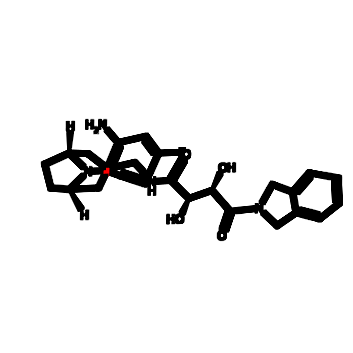 Nc1cc(F)ccc1N1[C@@H]2CC[C@H]1CC(CNC(=O)[C@H](O)[C@@H](O)C(=O)N1Cc3ccccc3C1)C2